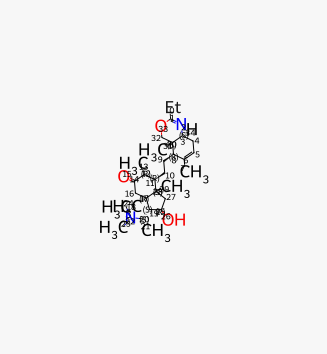 CCC1=N[C@H]2CC=C(C)[C@@H](CC[C@@H]3[C@@H](C)C(=O)C[C@]4(C)[C@@H]([C@H](C)N(C)C)[C@H](O)C[C@@]34C)[C@]2(C)CO1